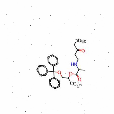 CCCCCCCCCCCC(=O)CCNC(C)C(=O)OC(COC(c1ccccc1)(c1ccccc1)c1ccccc1)C(=O)O